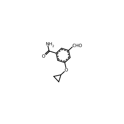 NC(=O)c1cc(C=O)cc(OC2CC2)c1